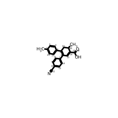 Cc1ccc(C2=C(c3ccc(C#N)cc3)C=C(C(=O)O)C(C)C2)cc1